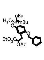 CCCCC(CCCC)[SiH](C)Oc1ccc(OCc2ccccc2)c(CC(OC(C)=O)C(=O)OCC)c1